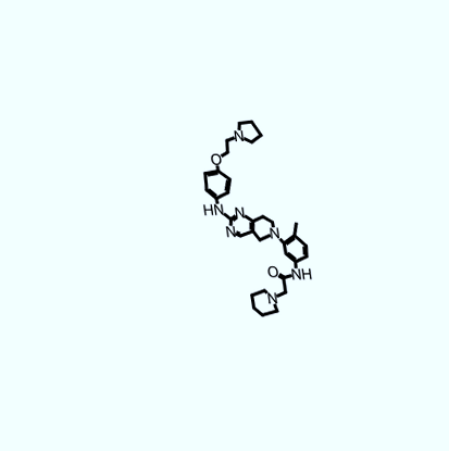 Cc1ccc(NC(=O)CN2CCCCC2)cc1N1CCc2nc(Nc3ccc(OCCN4CCCC4)cc3)ncc2C1